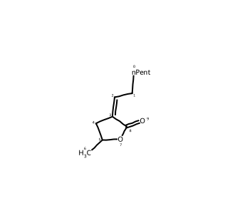 CCCCCC/C=C1/CC(C)OC1=O